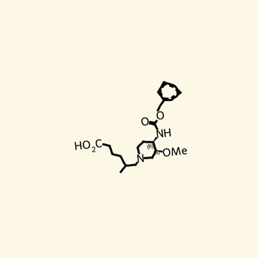 CO[C@H]1CN(CC(C)CCCC(=O)O)CC[C@H]1NC(=O)OCc1ccccc1